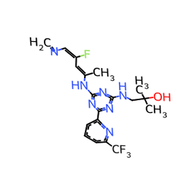 C=N/C=C(F)\C=C(/C)Nc1nc(NCC(C)(C)O)nc(-c2cccc(C(F)(F)F)n2)n1